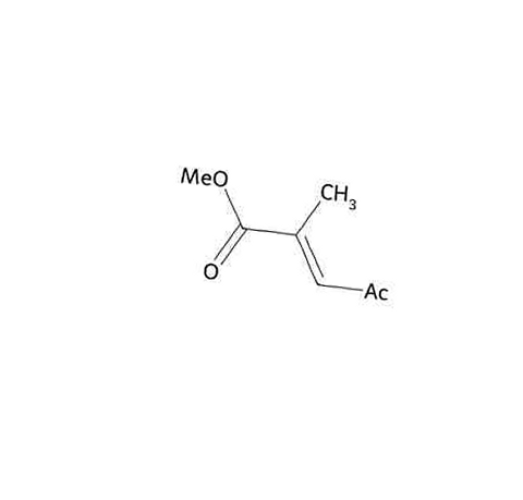 COC(=O)/C(C)=C/C(C)=O